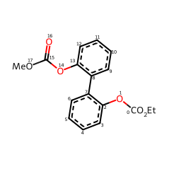 CCOC(=O)Oc1ccccc1-c1ccccc1OC(=O)OC